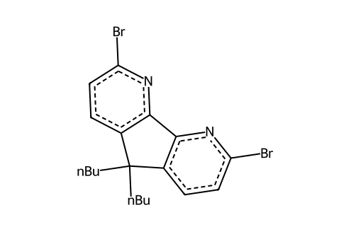 CCCCC1(CCCC)c2ccc(Br)nc2-c2nc(Br)ccc21